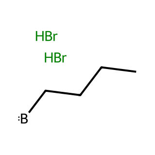 Br.Br.[B]CCCC